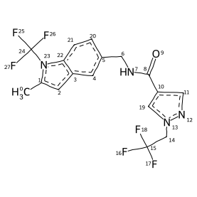 Cc1cc2cc(CNC(=O)c3cnn(CC(F)(F)F)c3)ccc2n1C(F)(F)F